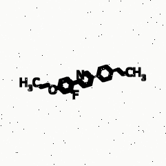 CCCOc1ccc(-c2ccc([C@H]3CC[C@H](CCC)CC3)cn2)c(F)c1